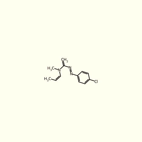 C=C(/N=N/c1ccc(Cl)cc1)N(C)/C=C\C